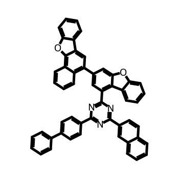 c1ccc(-c2ccc(-c3nc(-c4ccc5ccccc5c4)nc(-c4cc(-c5cc6c7ccccc7oc6c6ccccc56)cc5oc6ccccc6c45)n3)cc2)cc1